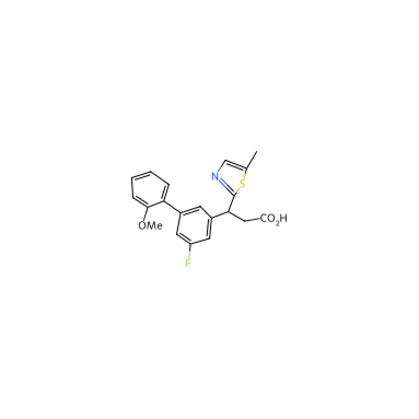 COc1ccccc1-c1cc(F)cc(C(CC(=O)O)c2ncc(C)s2)c1